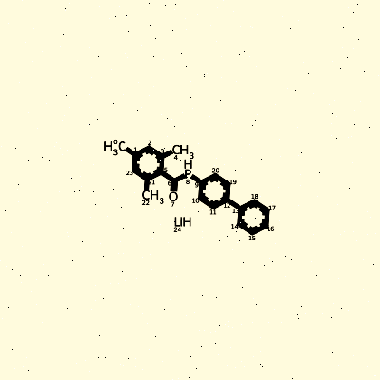 Cc1cc(C)c(C(=O)Pc2ccc(-c3ccccc3)cc2)c(C)c1.[LiH]